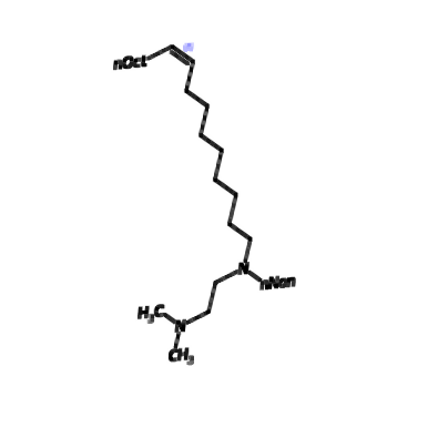 CCCCCCCC/C=C\CCCCCCCCN(CCCCCCCCC)CCN(C)C